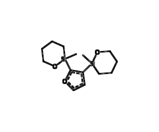 C[Si]1(c2ccoc2[Si]2(C)CCCCO2)CCCCO1